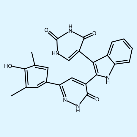 Cc1cc(-c2cc(-c3[nH]c4ccccc4c3-c3c[nH]c(=O)[nH]c3=O)c(=O)[nH]n2)cc(C)c1O